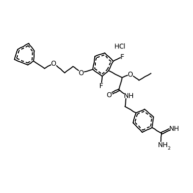 CCOC(C(=O)NCc1ccc(C(=N)N)cc1)c1c(F)ccc(OCCOCc2ccccc2)c1F.Cl